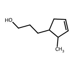 CC1C=CCC1CCCO